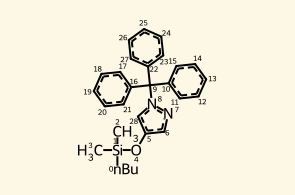 CCCC[Si](C)(C)Oc1cnn(C(c2ccccc2)(c2ccccc2)c2ccccc2)c1